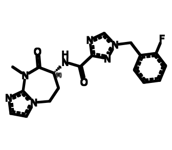 CN1C(=O)[C@H](NC(=O)c2ncn(Cc3ccccc3F)n2)CCn2ccnc21